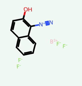 N#[N+]c1c(O)ccc2ccccc12.[B+3].[F-].[F-].[F-].[F-]